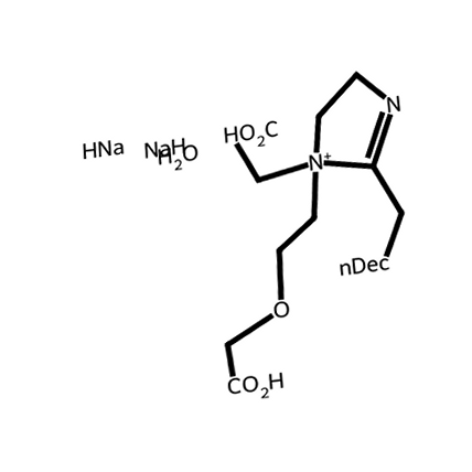 CCCCCCCCCCCC1=NCC[N+]1(CCOCC(=O)O)CC(=O)O.O.[NaH].[NaH]